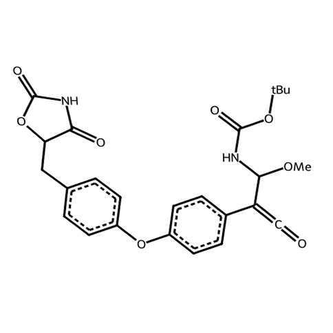 COC(NC(=O)OC(C)(C)C)C(=C=O)c1ccc(Oc2ccc(CC3OC(=O)NC3=O)cc2)cc1